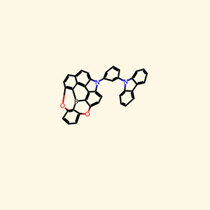 c1cc(-n2c3ccccc3c3ccccc32)cc(-n2c3ccc4c5c3c3c6c7c(ccc6ccc32)Oc2cccc(c2B75)O4)c1